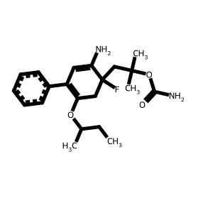 CCC(C)OC1=C(c2ccccc2)C=C(N)C(F)(CC(C)(C)OC(N)=O)C1